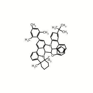 Cc1cc(C)c(-c2cc3c4c(c2)N(c2ccc(C(C)(C)C)cc2-c2ccccc2)C2c5ccccc5OC2B4N2c4c-3cccc4C3(C)CCCCC23C)c(C)c1